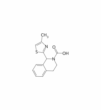 Cc1csc(C2c3ccccc3CCN2C(=O)O)n1